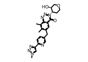 Cc1c(Cc2ccc(-c3cn(C)nn3)nc2)cc2c(=O)n([C@H]3CCOC[C@@H]3O)nnc2c1C